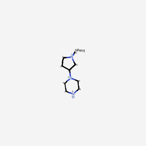 CCCCCN1CCC(N2CCNCC2)C1